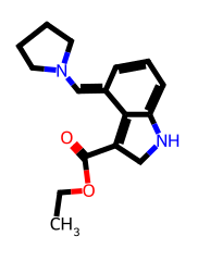 CCOC(=O)C1=c2c(cccc2=CN2CCCC2)NC1